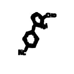 N#Cc1ccc(-c2ccc(C=O)[nH]2)cc1